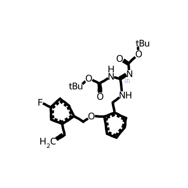 C=Cc1cc(F)ccc1COc1ccccc1CN/C(=N/C(=O)OC(C)(C)C)NC(=O)OC(C)(C)C